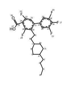 CCCCC1CCC(CCc2c(-c3cc(F)c(F)c(F)c3)cc(F)c(C(=O)O)c2F)CC1